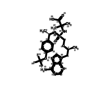 C[C@H](NP(=O)(CO[C@@H](C)Cn1cnc2c(N)ncnc21)NC(C)(C)C(=O)O)c1ccc(OC(F)(F)F)cc1